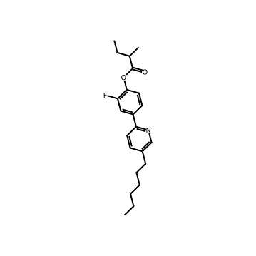 CCCCCCc1ccc(-c2ccc(OC(=O)C(C)CC)c(F)c2)nc1